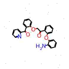 Nc1ccccc1Oc1ccccc1C(=O)COc1ccccc1C(=O)c1ccccn1